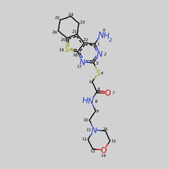 Nc1nc(SCC(=O)NCCN2CCOCC2)nc2sc3c(c12)CCCC3